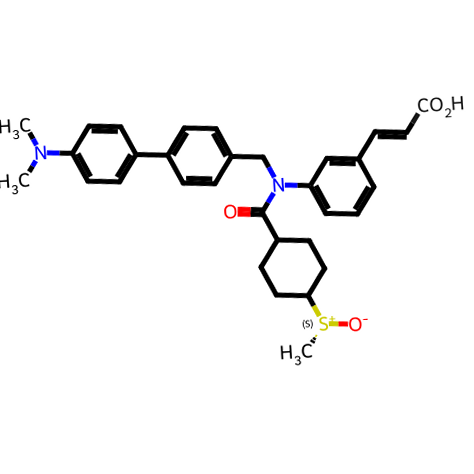 CN(C)c1ccc(-c2ccc(CN(C(=O)C3CCC([S@@+](C)[O-])CC3)c3cccc(C=CC(=O)O)c3)cc2)cc1